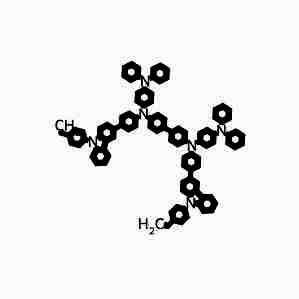 C=Cc1ccc(-n2c3ccccc3c3cc(-c4ccc(N(c5ccc(-c6ccc(N(c7ccc(-c8ccc9c(c8)c8ccccc8n9-c8ccc(C=C)cc8)cc7)c7ccc(N(c8ccccc8)c8ccccc8)cc7)cc6)cc5)c5ccc(N(c6ccccc6)c6ccccc6)cc5)cc4)ccc32)cc1